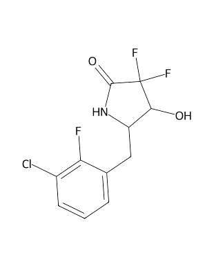 O=C1NC(Cc2cccc(Cl)c2F)C(O)C1(F)F